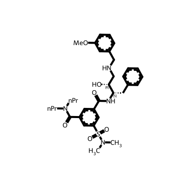 CCCN(CCC)C(=O)c1cc(C(=O)N[C@@H](Cc2ccccc2)[C@H](O)CNCc2cccc(OC)c2)cc(S(=O)(=O)N(C)C)c1